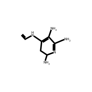 C=CNC1=C(N)C(N)=NC(N)C1